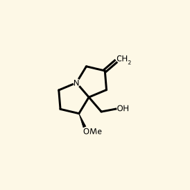 C=C1CN2CC[C@H](OC)C2(CO)C1